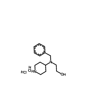 Cl.Cl.OCCN(Cc1ccccc1)C1CCNCC1